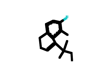 CCC(C)(C)C1=CCCc2ccc(F)c(C)c21